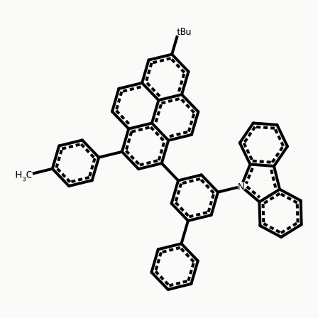 Cc1ccc(-c2cc(-c3cc(-c4ccccc4)cc(-n4c5ccccc5c5ccccc54)c3)c3ccc4cc(C(C)(C)C)cc5ccc2c3c54)cc1